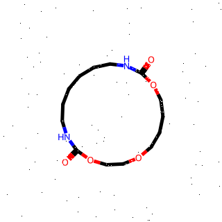 O=C1NCCCCCCNC(=O)OCCOCCCCO1